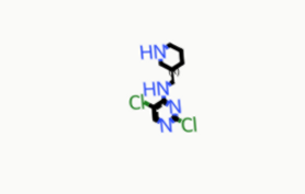 Clc1ncc(Cl)c(NC[C@@H]2CCCNC2)n1